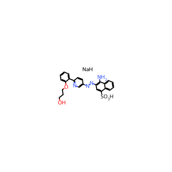 Nc1c(N=Nc2ccc(-c3ccccc3OCCCO)nc2)cc(S(=O)(=O)O)c2ccccc12.[NaH]